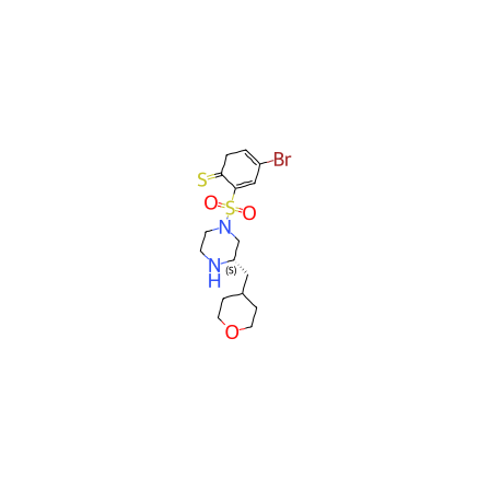 O=S(=O)(C1=CC(Br)=CCC1=S)N1CCN[C@@H](CC2CCOCC2)C1